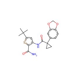 CC(C)(C)c1cc(NC(=O)C2(c3ccc4c(c3)OCO4)CC2)c(C(N)=O)s1